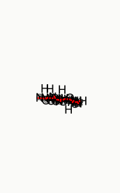 CN(C)CCCNC(=O)CCNC(=O)c1cc(NC(=O)c2nc(NC(=O)CCCNC(=O)c3cc(NC(=O)c4nccn4C)cn3C)cn2C)cn1C